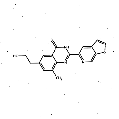 Cc1cc(CCO)cc2c(=O)[nH]c(-c3cc4ccsc4cn3)nc12